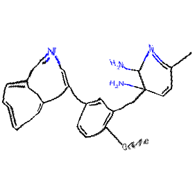 COc1ccc(-c2cncc3ccccc23)cc1CC1(N)C=CC(C)=NC1N